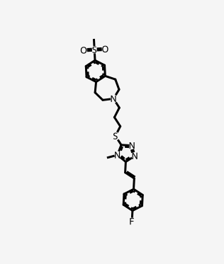 Cn1c(C=Cc2ccc(F)cc2)nnc1SCCCN1CCc2ccc(S(C)(=O)=O)cc2CC1